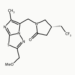 COCc1nn2c(CN3C[C@H](CC(F)(F)F)CC3=O)c(C)nc2s1